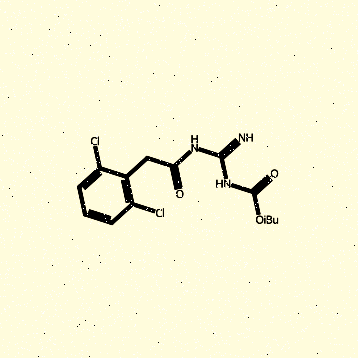 CC(C)COC(=O)NC(=N)NC(=O)Cc1c(Cl)cccc1Cl